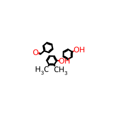 Cc1cccc(O)c1C.O=Cc1ccccc1.Oc1ccccc1